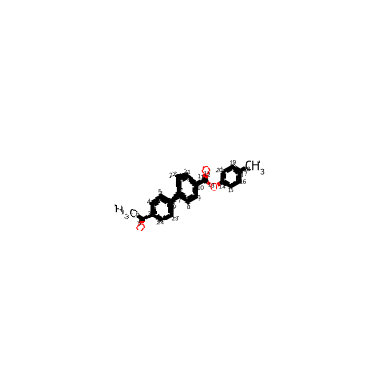 CC(=O)c1ccc(-c2ccc(C(=O)Oc3ccc(C)cc3)cc2)cc1